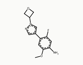 COc1cc(-c2cnn(C3COC3)c2)c(F)cc1N